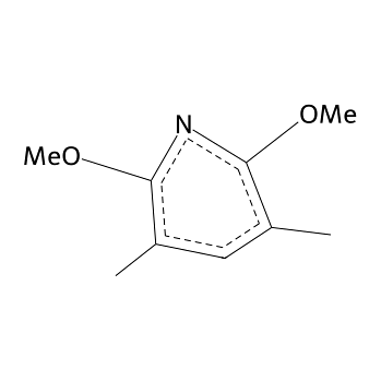 COc1nc(OC)c(C)cc1C